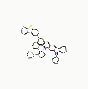 c1ccc(-c2ccccc2-c2c(-c3ccccc3)cccc2N(c2ccc(-c3ccc4sc5ccccc5c4c3)cc2)c2ccc3c4ccccc4n(-c4ccccc4)c3c2)cc1